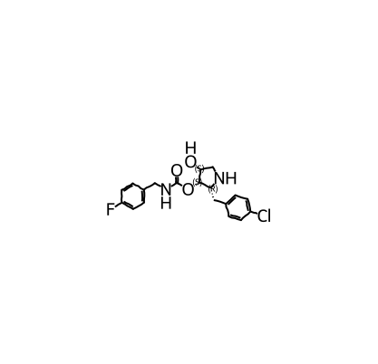 O=C(NCc1ccc(F)cc1)O[C@@H]1[C@@H](O)CN[C@@H]1Cc1ccc(Cl)cc1